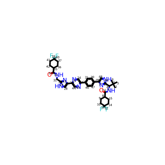 CC(C)(C)C(NC(=O)C1CCC(F)(F)CC1)c1nc(-c2ccc(-c3cnc(-c4c[nH]c(CNC(=O)C5CCC(F)(F)CC5)n4)cn3)cc2)c[nH]1